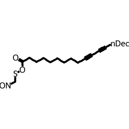 CCCCCCCCCCC#CC#CCCCCCCCCC(=O)OSCN=O